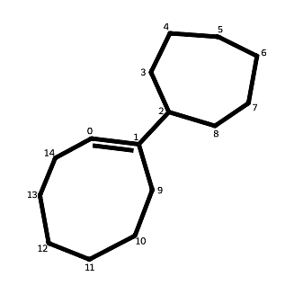 C1=C(C2CCCCCC2)CCCCCC1